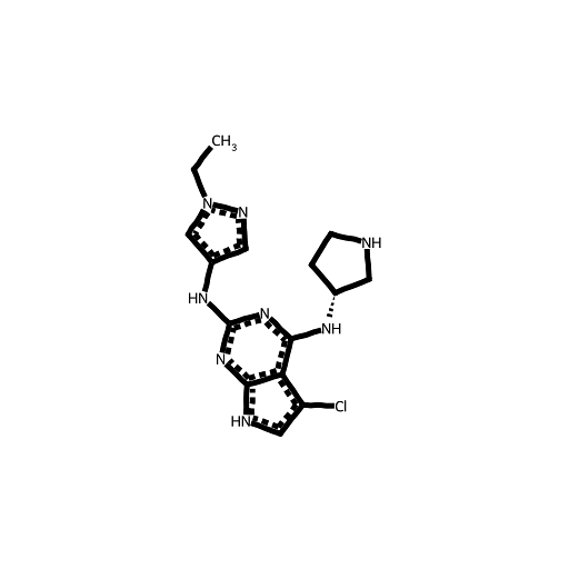 CCn1cc(Nc2nc(N[C@@H]3CCNC3)c3c(Cl)c[nH]c3n2)cn1